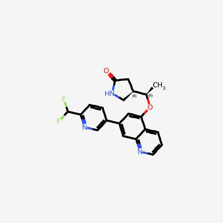 C[C@@H](Oc1cc(-c2ccc(C(F)F)nc2)cc2ncccc12)[C@H]1CNC(=O)C1